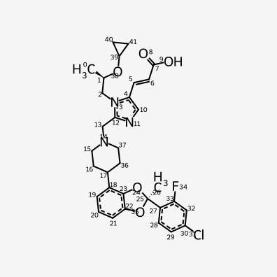 C[C@H](Cn1c(/C=C/C(=O)O)cnc1CN1CCC(c2cccc3c2O[C@@](C)(c2ccc(Cl)cc2F)O3)CC1)OC1CC1